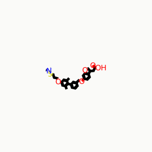 Cc1cc(OCCCSN(C)C)cc(C)c1-c1cccc(COc2ccc3c(c2)OCC3CC(=O)O)c1